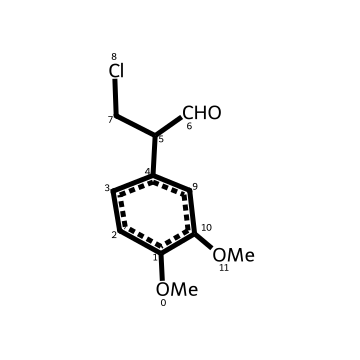 COc1ccc(C(C=O)CCl)cc1OC